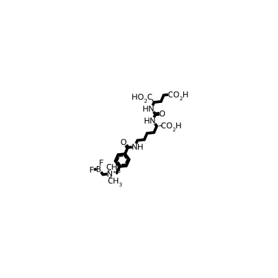 C[N+](C)(CB(F)F)Cc1ccc(C(=O)NCCCC[C@H](NC(=O)N[C@@H](CCC(=O)O)C(=O)O)C(=O)O)cc1